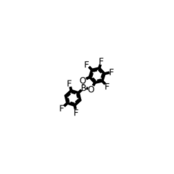 Fc1cc(F)c(B2Oc3c(F)c(F)c(F)c(F)c3O2)cc1F